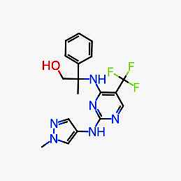 Cn1cc(Nc2ncc(C(F)(F)F)c(NC(C)(CO)c3ccccc3)n2)cn1